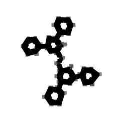 c1ccc(-c2cc(SSc3cc(-c4ccccc4)cc(-c4ccccc4)n3)nc(-c3ccccc3)c2)cc1